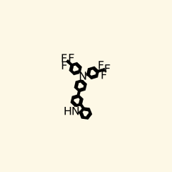 FC(F)(F)c1ccc(N(c2ccc(-c3ccc4[nH]c5ccccc5c4c3)cc2)c2ccc(C(F)(F)F)cc2)cc1